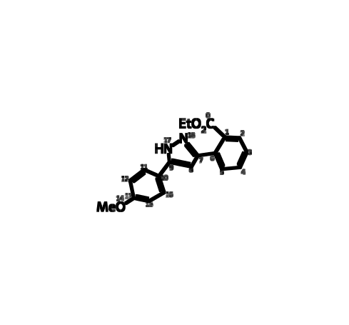 CCOC(=O)c1ccccc1-c1cc(-c2ccc(OC)cc2)[nH]n1